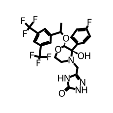 CC(O[C@H]1OCCN(Cc2n[nH]c(=O)[nH]2)[C@@]1(O)c1ccc(F)cc1)c1cc(C(F)(F)F)cc(C(F)(F)F)c1